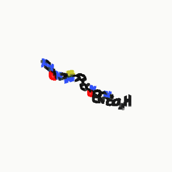 Cc1c(-c2nc3cc(CN4CCC(C(=O)O)C4)cc(C#N)c3o2)cccc1-c1cccc(-c2nc3c(s2)CN(C(=O)CN2CCN(C)CC2)C3)c1C